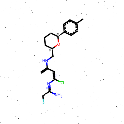 C=C(/C=C(Cl)\N=C(/N)CF)NC[C@H]1CCC[C@@H](c2ccc(C)cc2)O1